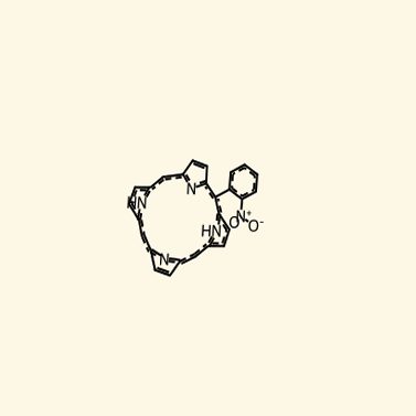 O=[N+]([O-])c1ccccc1-c1c2nc(cc3ccc(cc4nc(cc5ccc1[nH]5)C=C4)[nH]3)C=C2